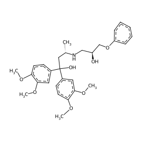 COc1ccc(C(O)(C[C@H](C)NC[C@H](O)COc2ccccc2)c2ccc(OC)c(OC)c2)cc1OC